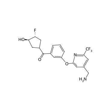 NCc1cc(Oc2cccc(C(=O)C3C[C@@H](O)[C@H](F)C3)c2)nc(C(F)(F)F)c1